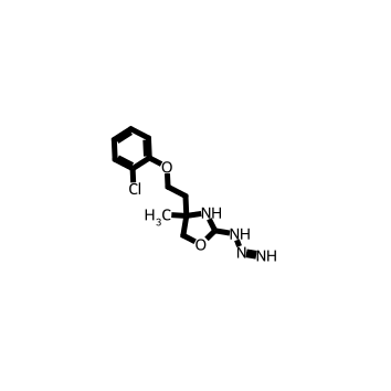 CC1(CCOc2ccccc2Cl)COC(NN=N)N1